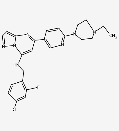 CCN1CCN(c2ccc(-c3cc(NCc4ccc(Cl)cc4F)n4nccc4n3)cn2)CC1